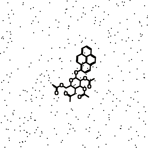 CC(=O)CC1C(COC(C)=O)OC(Oc2ccc3ccc4cccc5ccc2c3c45)C(OC(C)=O)C1OC(C)=O